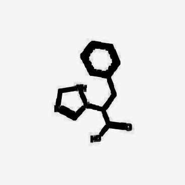 O=C(O)C(Cc1ccccc1)N1C=NCN1